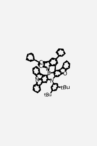 CC(C)(C)c1cc(N2c3cc4oc5ccccc5c4c4c3B(c3c2cc2c5ccccc5n5c6ccccc6c3c25)n2c3ccc(-c5ccccc5)cc3c3cc(-c5ccccc5)cc-4c32)cc(C(C)(C)C)c1